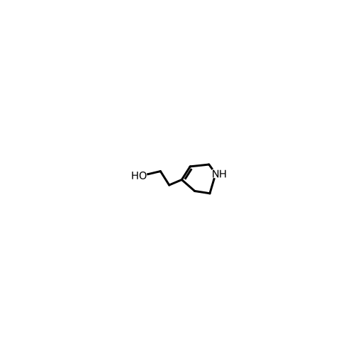 OCCC1=CCNCC1